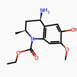 CCOC(=O)N1c2cc(OC)c(O)cc2[C@H](N)C[C@@H]1C